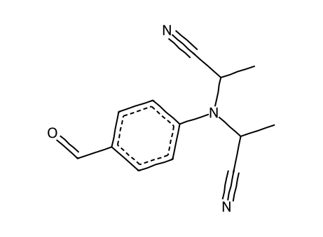 CC(C#N)N(c1ccc(C=O)cc1)C(C)C#N